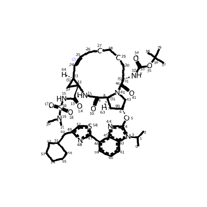 CC(C)n1c(O[C@@H]2C[C@H]3C(=O)N[C@]4(C(=O)NS(=O)(=O)N(C)C)C[C@H]4/C=C\CCCCC[C@H](NC(=O)OC(C)(C)C)C(=O)N3C2)nc2c(-c3nc(CC4CCCCC4)cs3)cccc21